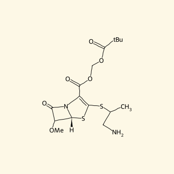 COC1C(=O)N2C(C(=O)OCOC(=O)C(C)(C)C)=C(SC(C)CN)S[C@H]12